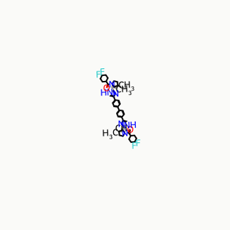 CC1(C)CCN(C(=O)C2CCC(F)(F)CC2)[C@H]1c1nc(-c2ccc(-c3ccc(-c4c[nH]c([C@@H]5N(C(=O)C6CCC(F)(F)CC6)CCC5(C)C)n4)cc3)cc2)c[nH]1